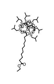 CCOC(=O)CCCCCCCCCC[Si]12O[Si]3(CC(C)C)O[Si]4(CC(C)C)O[Si](CC(C)C)(O1)O[Si]1(CC(C)C)O[Si](CC(C)C)(O2)O[Si](CC(C)C)(O3)O[Si](CC(C)C)(O4)O1